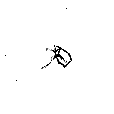 CCC12CCCCC1(C(=O)OC(C)C)O2